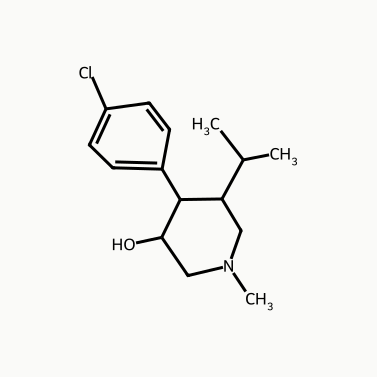 CC(C)C1CN(C)CC(O)C1c1ccc(Cl)cc1